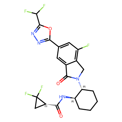 O=C(N[C@@H]1CCCC[C@H]1N1Cc2c(F)cc(-c3nnc(C(F)F)o3)cc2C1=O)[C@@H]1CC1(F)F